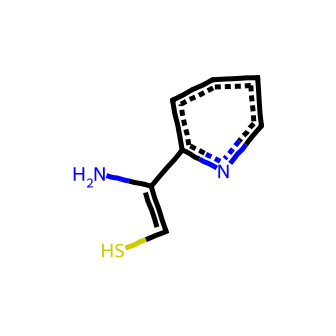 N/C(=C\S)c1ccccn1